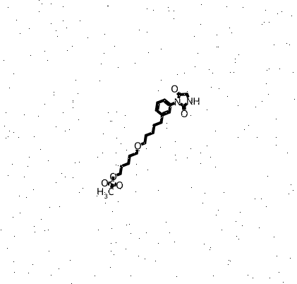 CS(=O)(=O)OCCCCCOCCCCCc1cccc(N2C(=O)CNC2=O)c1